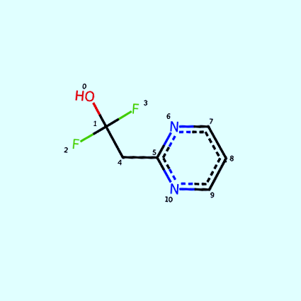 OC(F)(F)Cc1nc[c]cn1